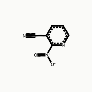 N#Cc1cccnc1[N+](=O)[O-]